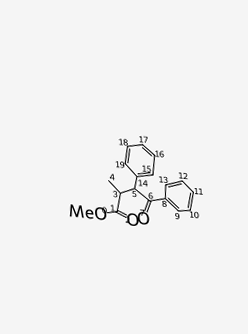 COC(=O)C(C)C(C(=O)c1ccccc1)c1ccccc1